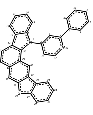 c1ccc(-c2cc(-n3c4ccccc4c4ccc5cc6sc7ccccc7c6cc5c43)ccn2)cc1